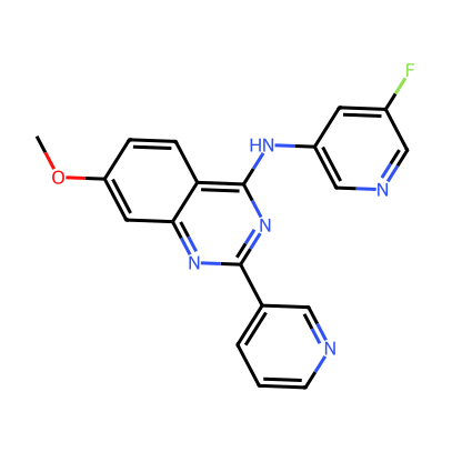 COc1ccc2c(Nc3cncc(F)c3)nc(-c3cccnc3)nc2c1